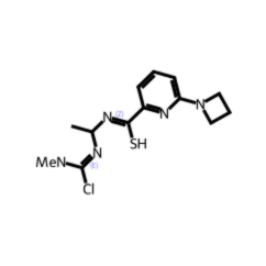 CN/C(Cl)=N\C(C)/N=C(\S)c1cccc(N2CCC2)n1